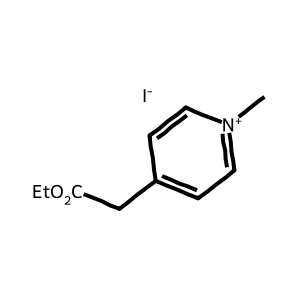 CCOC(=O)Cc1cc[n+](C)cc1.[I-]